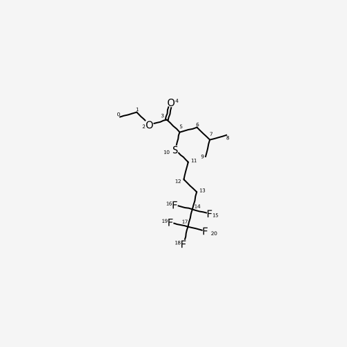 CCOC(=O)C(CC(C)C)SCCCC(F)(F)C(F)(F)F